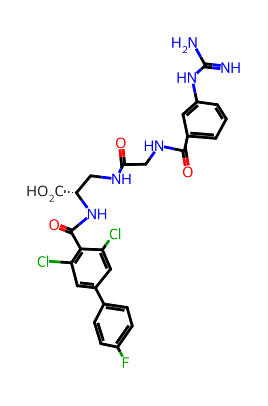 N=C(N)Nc1cccc(C(=O)NCC(=O)NC[C@H](NC(=O)c2c(Cl)cc(-c3ccc(F)cc3)cc2Cl)C(=O)O)c1